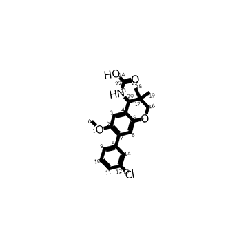 COc1cc2c(cc1-c1cccc(Cl)c1)OCC(C)(C)C2NC(=O)O